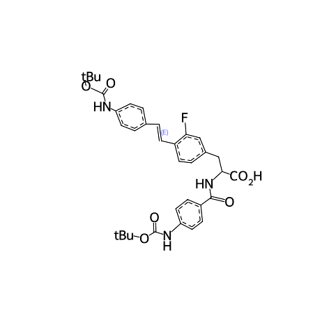 CC(C)(C)OC(=O)Nc1ccc(/C=C/c2ccc(CC(NC(=O)c3ccc(NC(=O)OC(C)(C)C)cc3)C(=O)O)cc2F)cc1